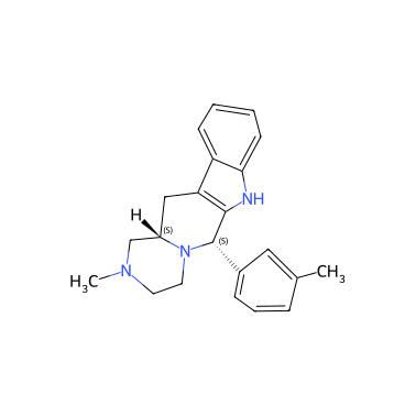 Cc1cccc([C@H]2c3[nH]c4ccccc4c3C[C@H]3CN(C)CCN32)c1